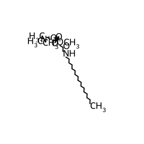 CCCCCCCCCCCCCCCCCCNCC(COP(=O)([O-])OCC[N+](C)(C)C)OC